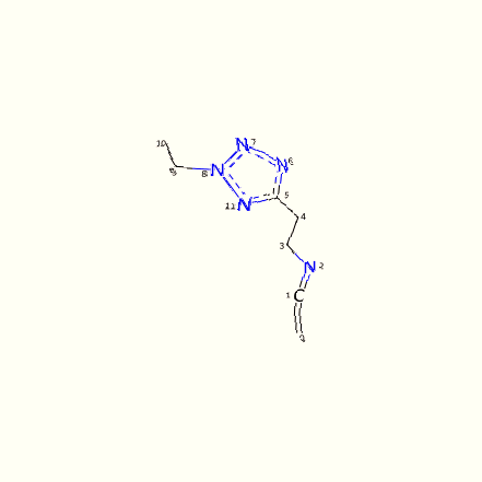 C=C=NCCc1nnn(CC)n1